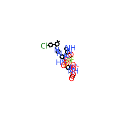 CC1(C)CCC(CN2CCN(c3ccc(C(=O)NS(=O)(=O)c4ccc(NC[C@H]5COCCO5)c([N+](=O)[O-])c4)c(N4C[C@H](C(F)(F)F)COc5nc6[nH]ccc6cc54)c3)CC2)=C(c2ccc(Cl)cc2)C1